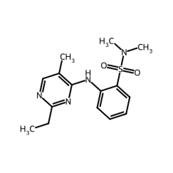 CCc1ncc(C)c(Nc2ccccc2S(=O)(=O)N(C)C)n1